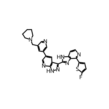 Fc1ccc(-c2nccc3[nH]c(-c4n[nH]c5ncc(-c6cncc(CN7CCCCC7)c6)cc45)nc23)s1